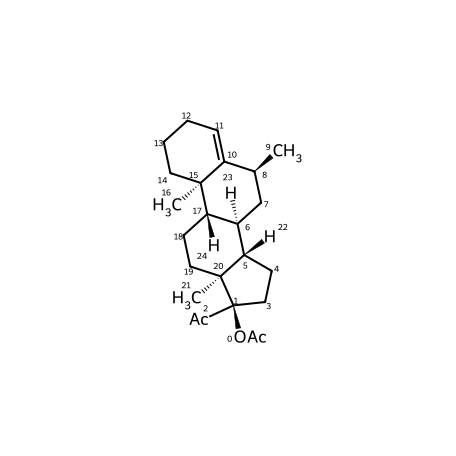 CC(=O)O[C@]1(C(C)=O)CC[C@H]2[C@@H]3C[C@H](C)C4=CCCC[C@]4(C)[C@H]3CC[C@@]21C